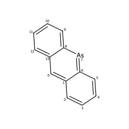 C1=c2ccccc2=[As]c2ccccc21